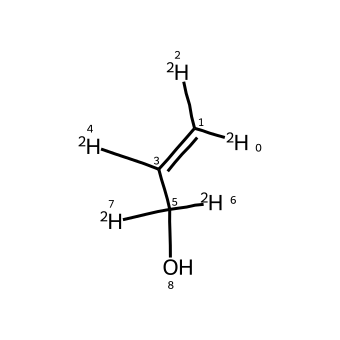 [2H]C([2H])=C([2H])C([2H])([2H])O